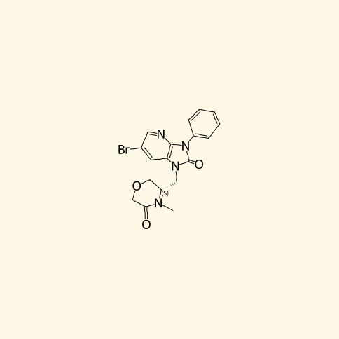 CN1C(=O)COC[C@@H]1Cn1c(=O)n(-c2ccccc2)c2ncc(Br)cc21